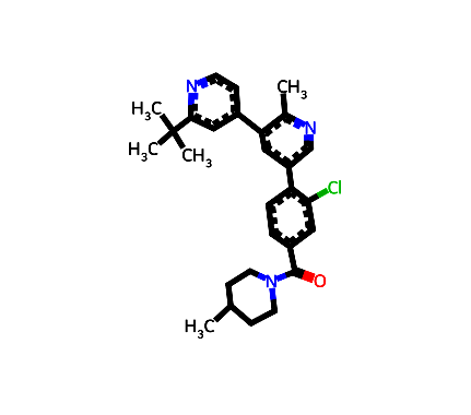 Cc1ncc(-c2ccc(C(=O)N3CCC(C)CC3)cc2Cl)cc1-c1ccnc(C(C)(C)C)c1